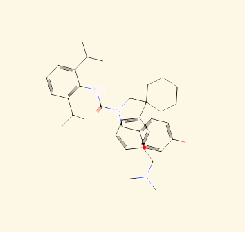 CC(C)c1cccc(C(C)C)c1NC(=O)N(Cc1ccc(O)cc1)CC1(c2cccc(CN(C)C)c2)CCCCC1